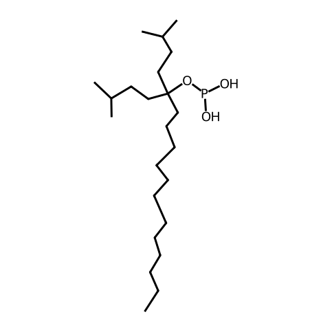 CCCCCCCCCCCCC(CCC(C)C)(CCC(C)C)OP(O)O